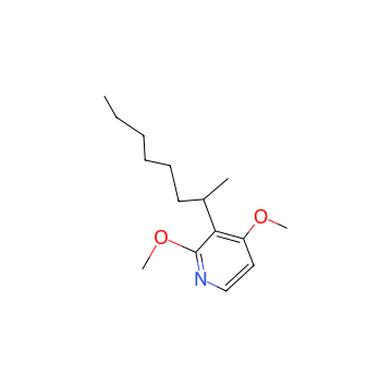 CCCCCCC(C)c1c(OC)ccnc1OC